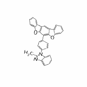 Cc1nc2ccccc2n1-c1ccc(-c2c3oc4ccccc4c3cc3c2oc2ccccc23)cc1